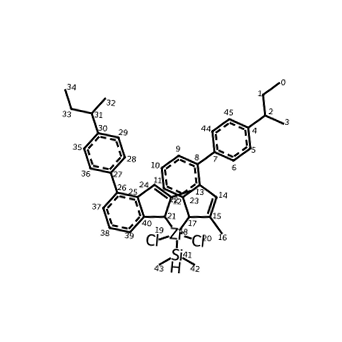 CCC(C)c1ccc(-c2cccc3c2C=C(C)[CH]3[Zr]([Cl])([Cl])([CH]2C(C)=Cc3c(-c4ccc(C(C)CC)cc4)cccc32)[SiH](C)C)cc1